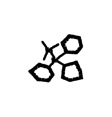 [CH3][Sn]([CH3])([CH3])[Sn]([c]1ccccc1)([c]1ccccc1)[c]1ccccc1